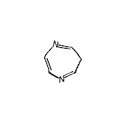 C1=CN=CCC=N1